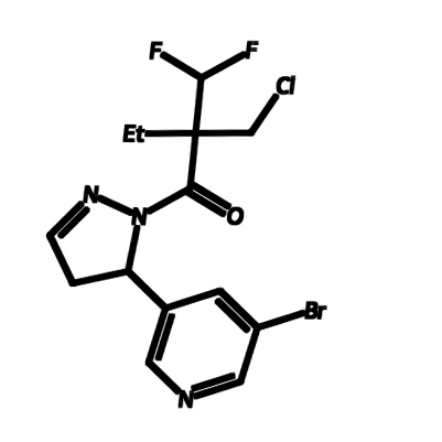 CCC(CCl)(C(=O)N1N=CCC1c1cncc(Br)c1)C(F)F